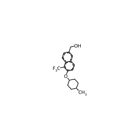 C[C@H]1CC[C@@H](Oc2ccc3cc(CO)ccc3c2C(F)(F)F)CC1